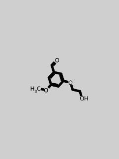 COc1cc(C=O)cc(OCCO)c1